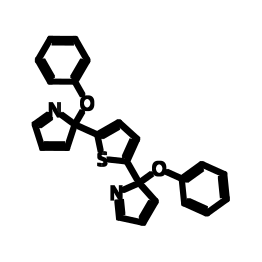 C1=CC(Oc2ccccc2)(c2ccc(C3(Oc4ccccc4)C=CC=N3)s2)N=C1